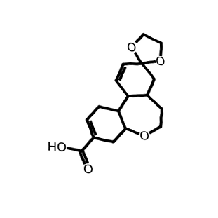 O=C(O)C1=CCC2C(C1)OCCC1CC3(C=CC12)OCCO3